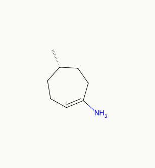 C[C@H]1CCC=C(N)CC1